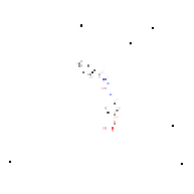 CC(C)(Oc1ccc2c(c1)CCN(C(=O)Nc1nc(-c3ccc(C(F)(F)F)cc3)cs1)C2)C(=O)O